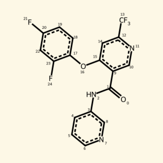 O=C(Nc1cccnc1)c1cnc(C(F)(F)F)cc1Oc1ccc(F)cc1F